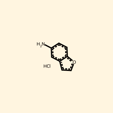 Cl.Nc1ccc2occc2c1